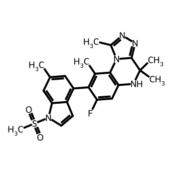 Cc1cc(-c2c(F)cc3c(c2C)-n2c(C)nnc2C(C)(C)N3)c2ccn(S(C)(=O)=O)c2c1